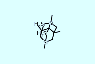 CC12CC3(C)C[Si](C)(C1)[SiH2][Si](C)(C2)[SiH2]3